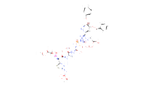 CC(C)(C)OC(=O)Nc1nc(/C(=N/OC(C)(C)C(=O)OC(C)(C)C)C(=O)N[C@H]2CN(C(=O)NS(=O)(=O)n3nc(-c4cc(OCc5ccccc5)c(OCc5ccccc5)cn4)n(C[C@H](O)CO)c3=O)C2=O)cs1